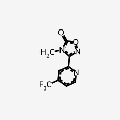 [CH2]n1c(-c2cc(C(F)(F)F)ccn2)noc1=O